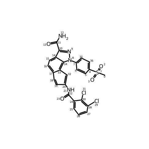 CS(=O)(=O)c1ccc(-n2nc(C(N)=O)c3ccc4ccc(NC(=O)c5cccc(Cl)c5Cl)cc4c32)cc1